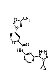 O=C(Nc1cccc(-c2nncn2C2CC2)n1)c1cc(-n2cnc(C(F)(F)F)c2)ccn1